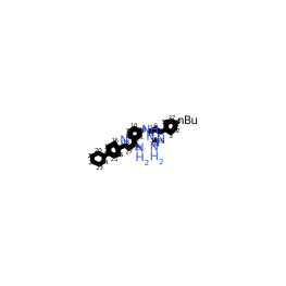 CCCCc1ccc(-c2cc(Nc3ccc4nc(-c5ccc(C6CCCCC6)cc5)cc(N)c4c3)nc(N)n2)cc1